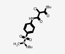 CCCCN(C)S(=O)(=O)c1ccc(NC(=O)C(Cl)C(=O)C(C)(C)C)cc1